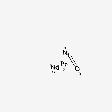 [Nd].[O]=[Ni].[Pr]